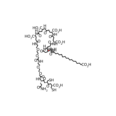 NC(=O)CC[C@H](NC(=O)COCCOCCNC(=O)COCCOCCNC(=O)CC[C@H](NC(=O)CC[C@H](NC(=O)CC[C@H](NC(=O)CC[C@H](NC(=O)CC[C@H](NC(=O)CC[C@H](NC(=O)CCCCCCCCCCCCCCCCC(=O)O)C(=O)O)C(=O)O)C(=O)O)C(=O)O)C(=O)O)C(=O)O)C(=O)C[C@@H](CS)C(=O)C[C@@H](CS)C(=O)O